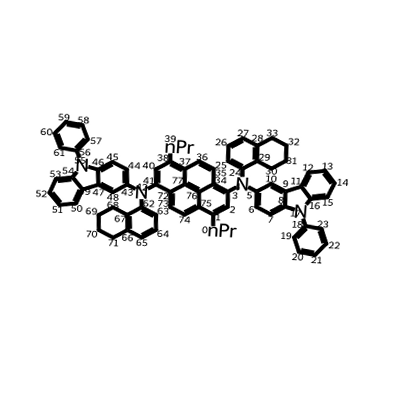 CCCc1cc(N(c2ccc3c(c2)c2ccccc2n3-c2ccccc2)c2cccc3c2CCCC3)c2ccc3c(CCC)cc(N(c4ccc5c(c4)c4ccccc4n5-c4ccccc4)c4cccc5c4CCCC5)c4ccc1c2c34